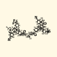 CCOC(=O)C1=C(C)N(c2cccc(C(F)(F)F)c2)C(=O)N(Cc2ccc(C(=O)NCCN(C)CCNC(=O)c3ccc(CN4C(=O)N(c5cccc(C(F)(F)F)c5)C(C)=C(C(=O)OCC)C4c4ccc(C#N)cc4)cc3)cc2)C1c1ccc(C#N)cc1